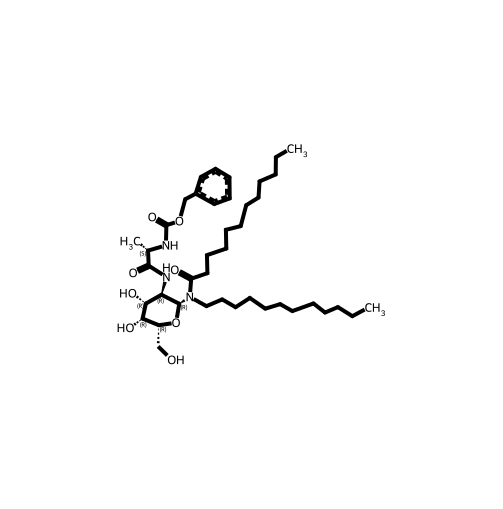 CCCCCCCCCCCCN(C(=O)CCCCCCCCCCC)[C@@H]1O[C@H](CO)[C@H](O)[C@H](O)[C@H]1NC(=O)[C@H](C)NC(=O)OCc1ccccc1